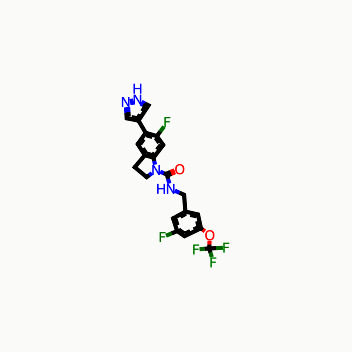 O=C(NCc1cc(F)cc(OC(F)(F)F)c1)N1CCc2cc(-c3cn[nH]c3)c(F)cc21